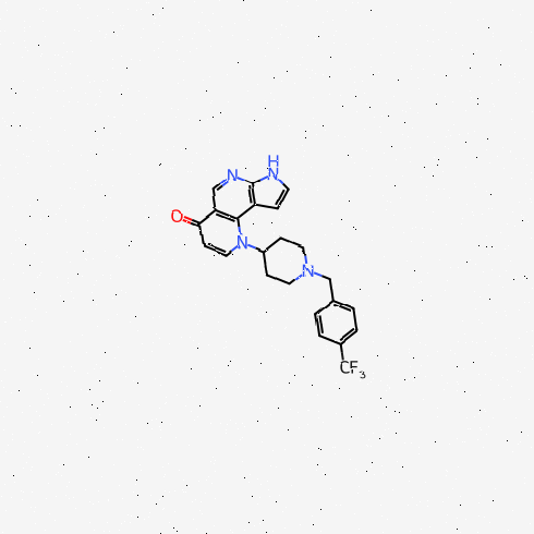 O=c1ccn(C2CCN(Cc3ccc(C(F)(F)F)cc3)CC2)c2c1cnc1[nH]ccc12